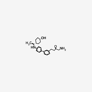 C=C(Nc1ccc(-c2cccc(CCC(=O)CN)c2)cc1)[C@H]1CC[C@@H](O)CC1